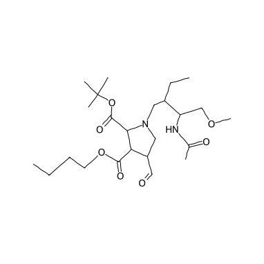 CCCCOC(=O)C1C(C=O)CN(CC(CC)C(COC)NC(C)=O)C1C(=O)OC(C)(C)C